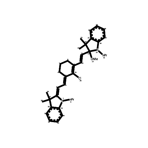 CCCN1/C(=C\C=C2/CCCC(/C=C/C3(OC)N(CCC)c4ccccc4C3(C)C)=C2Cl)C(C)(C)c2ccccc21